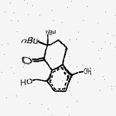 CCCCC1(CCCC)CCc2c(O)ccc(O)c2C1=O